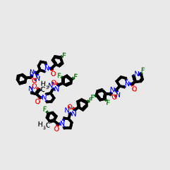 Cc1cc(F)ccc1C(=O)N1CCCC(c2noc(-c3ccc(F)cc3)n2)C1.Cc1oncc1C(=O)N1CCCC(c2noc(-c3ccc(F)cc3F)n2)C1.O=C(c1ccc(F)cc1)N1CCCC(c2noc(-c3ccccc3)n2)C1.O=C(c1ccc(F)nc1)N1CCCC(c2noc(-c3ccc(F)cc3F)n2)C1